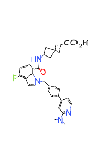 CN(C)c1cc(-c2ccc(Cn3ccc4c(F)ccc(C(=O)NC5CC6(C5)CC(C(=O)O)C6)c43)cc2)ccn1